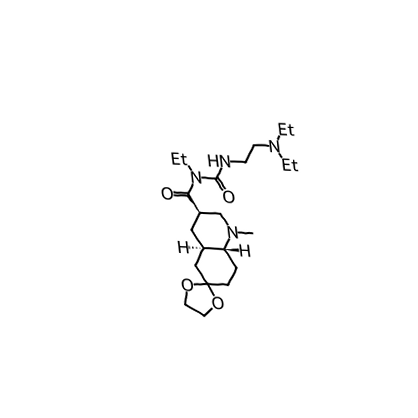 CCN(CC)CCNC(=O)N(CC)C(=O)[C@@H]1C[C@@H]2CC3(CC[C@H]2N(C)C1)OCCO3